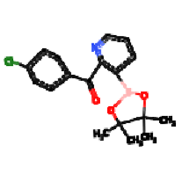 CC1(C)OB(c2cccnc2C(=O)c2ccc(Cl)cc2)OC1(C)C